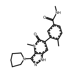 CNC(=O)c1ccc(C)c(-c2cc3[nH]nc(N4CCCCC4)c3n(C)c2=O)c1